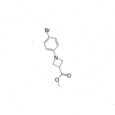 COC(=O)C1CN(c2ccc(Br)cc2)C1